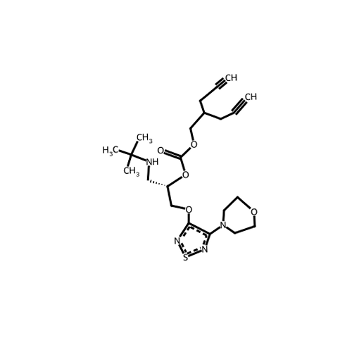 C#CCC(CC#C)COC(=O)O[C@@H](CNC(C)(C)C)COc1nsnc1N1CCOCC1